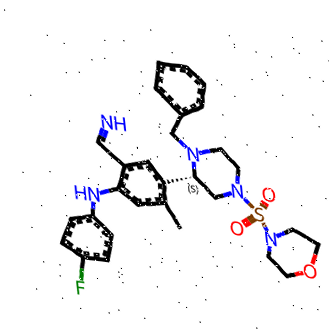 Cc1cc(Nc2ccc(F)cc2)c(C=N)cc1[C@H]1CN(S(=O)(=O)N2CCOCC2)CCN1Cc1ccccc1